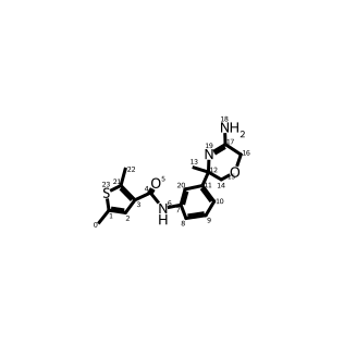 Cc1cc(C(=O)Nc2cccc(C3(C)COCC(N)=N3)c2)c(C)s1